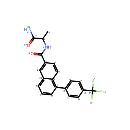 CC(NC(=O)c1ccc2c(-c3ccc(C(F)(F)F)cc3)cccc2c1)C(N)=O